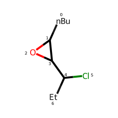 CCCCC1OC1C(Cl)CC